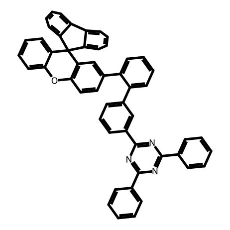 c1ccc(-c2nc(-c3ccccc3)nc(-c3cccc(-c4ccccc4-c4ccc5c(c4)C4(c6ccccc6O5)c5ccccc5-c5ccccc54)c3)n2)cc1